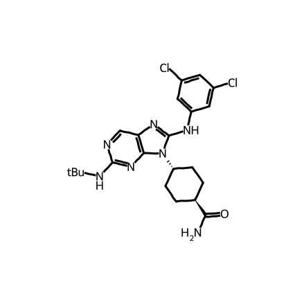 CC(C)(C)Nc1ncc2nc(Nc3cc(Cl)cc(Cl)c3)n([C@H]3CC[C@H](C(N)=O)CC3)c2n1